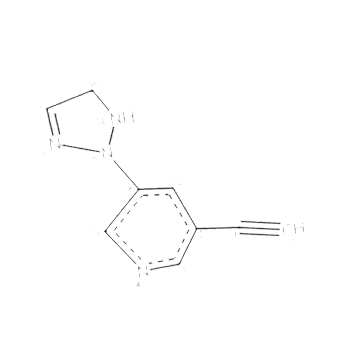 C#Cc1cncc(N2N=CCN2)c1